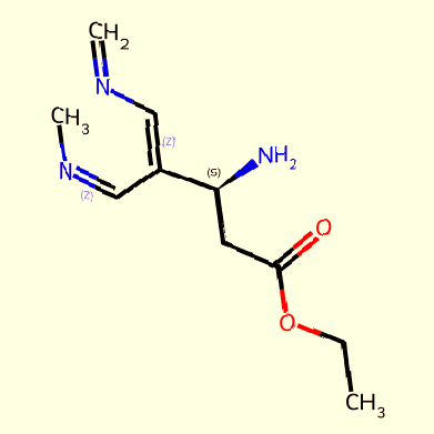 C=N/C=C(\C=N/C)[C@@H](N)CC(=O)OCC